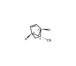 N#C[C@@H]1C[C@@H]2C=C[C@H]1C2